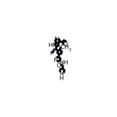 CCc1ccc(-c2cncc(NC(=O)CC3CCNCC3)c2)cc1/C(=C\CI)c1cc2c(-c3ccoc3)cncc2[nH]1